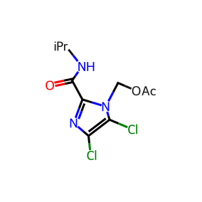 CC(=O)OCn1c(C(=O)NC(C)C)nc(Cl)c1Cl